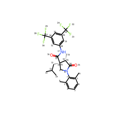 Cc1cccc(C)c1N1C[C@@](CC(C)C)(C(=O)Nc2cc(C(F)(F)F)cc(C(F)(F)F)c2)[C@H](C)C1=O